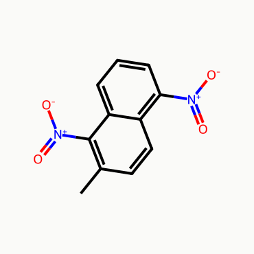 Cc1ccc2c([N+](=O)[O-])cccc2c1[N+](=O)[O-]